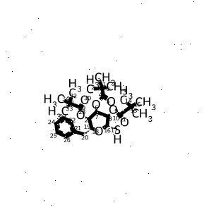 CC(C)(C)C(=O)O[C@@H]1[C@@H](OC(=O)C(C)(C)C)[C@H](S)O[C@H](Cc2ccccc2)[C@@H]1OC(=O)C(C)(C)C